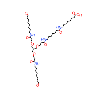 O=CCCCCCCCNC(=O)CCOCC(COCCC(=O)NCCCCCCCC=O)COCCC(=O)NCCCCCCC(=O)NCCCCCCCC(=O)O